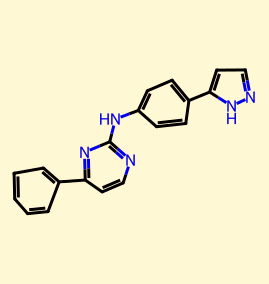 c1ccc(-c2ccnc(Nc3ccc(-c4ccn[nH]4)cc3)n2)cc1